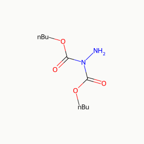 CCCCOC(=O)N(N)C(=O)OCCCC